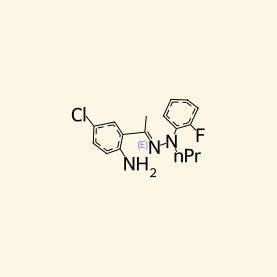 CCCN(/N=C(\C)c1cc(Cl)ccc1N)c1ccccc1F